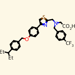 CCC(CC)c1ccc(COc2ccc(-c3csc(CN(CC(=O)O)Cc4ccc(C(F)(F)F)cc4)n3)cc2)cc1